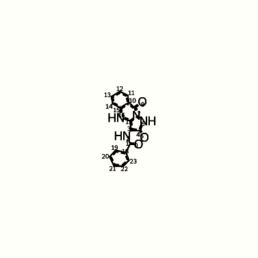 O=C(Nc1c(=O)[nH]n2c(=O)c3ccccc3[nH]c12)c1ccccc1